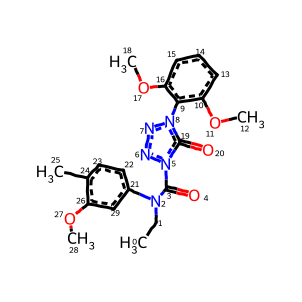 CCN(C(=O)n1nnn(-c2c(OC)cccc2OC)c1=O)c1ccc(C)c(OC)c1